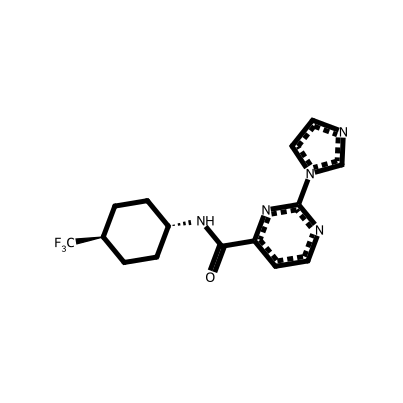 O=C(N[C@H]1CC[C@H](C(F)(F)F)CC1)c1ccnc(-n2ccnc2)n1